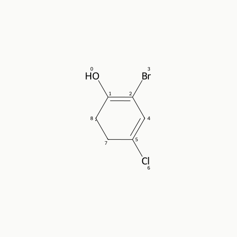 OC1=C(Br)C=C(Cl)C[CH]1